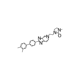 Cc1ccc(-c2ccc(-c3nc4ccn(CCN5CCN(C)C5=O)cc-4n3)cc2)cc1C